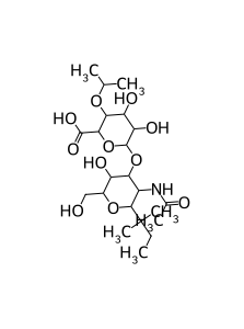 CCC(C)(C)C1OC(CO)C(O)C(OC2OC(C(=O)O)C(OC(C)C)C(O)C2O)C1NC(C)=O